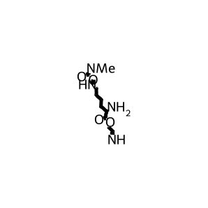 CNC(=O)ONCCCC[C@H](N)C(=O)OCC=N